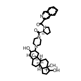 C[C@]12CC(N3CCN(C(=O)[C@@H]4CCCN4C(=O)c4cc5ccccc5cn4)CC3)C(O)CC1CC[C@@H]1[C@H]2CC[C@]2(C)C(O)CC[C@@H]12